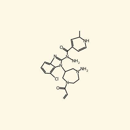 C=CC(=O)N1CCN(N)CC(n2c(N(N)C(=O)C3=CC(C)NC=C3)nc3cccc(Cl)c32)C1